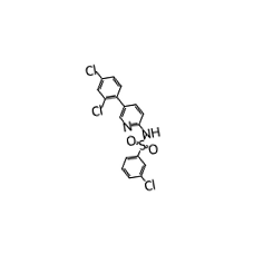 O=S(=O)(Nc1ccc(-c2ccc(Cl)cc2Cl)cn1)c1cccc(Cl)c1